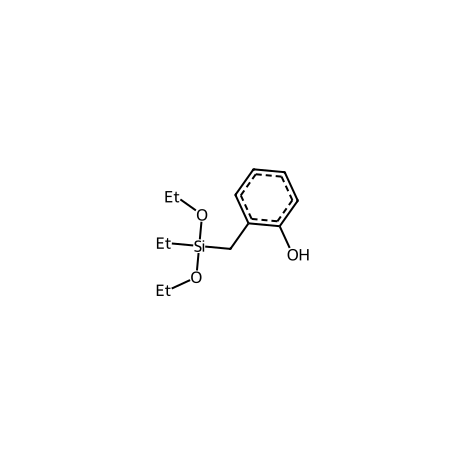 CCO[Si](CC)(Cc1ccccc1O)OCC